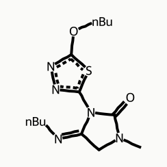 CCCCN=C1CN(C)C(=O)N1c1nnc(OCCCC)s1